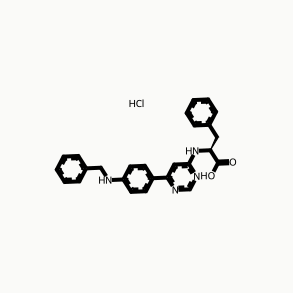 Cl.O=C(O)[C@H](Cc1ccccc1)Nc1cc(-c2ccc(NCc3ccccc3)cc2)ncn1